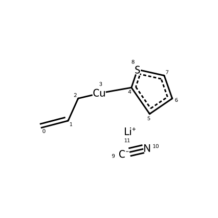 C=C[CH2][Cu][c]1cccs1.[C-]#N.[Li+]